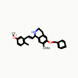 COc1cc2c(cc1OCc1ccccc1)CCNC2/C=C/c1cc(OC(F)(F)F)ccc1C